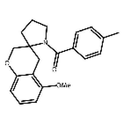 COc1cccc2c1CC1(CCCN1C(=O)c1ccc(C)cc1)CO2